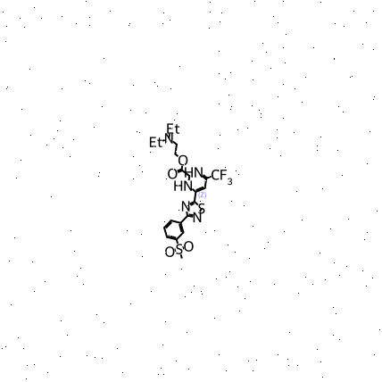 CCN(CC)CCOC(=O)CN/C(=C\C(=N)C(F)(F)F)c1nc(-c2cccc(S(C)(=O)=O)c2)ns1